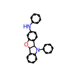 c1ccc(Nc2ccc3c(c2)OC2c4ccccc4N(c4ccccc4)C32)cc1